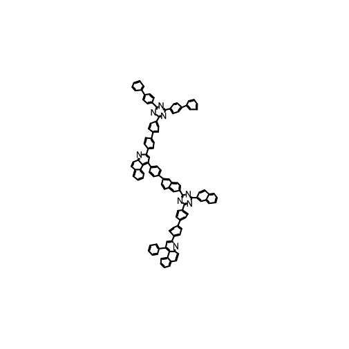 c1ccc(-c2ccc(-c3nc(-c4ccc(-c5ccccc5)cc4)nc(-c4ccc(-c5ccc(-c6cc(-c7ccc(-c8ccc9cc(-c%10nc(-c%11ccc(-c%12ccc(-c%13cc(-c%14ccccc%14)c%14c(ccc%15ccccc%15%14)n%13)cc%12)cc%11)nc(-c%11ccc%12ccccc%12c%11)n%10)ccc9c8)cc7)c7c(ccc8ccccc87)n6)cc5)cc4)n3)cc2)cc1